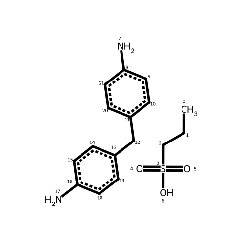 CCCS(=O)(=O)O.Nc1ccc(Cc2ccc(N)cc2)cc1